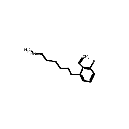 C=Cc1c(F)cccc1CCCCCCNC